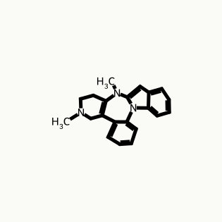 CN1CCC2=C(C1)c1ccccc1-n1c(cc3ccccc31)N2C